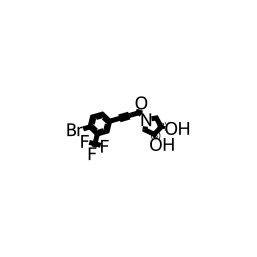 O=C(C#Cc1ccc(Br)c(C(F)(F)F)c1)N1C[C@@H](O)[C@@H](O)C1